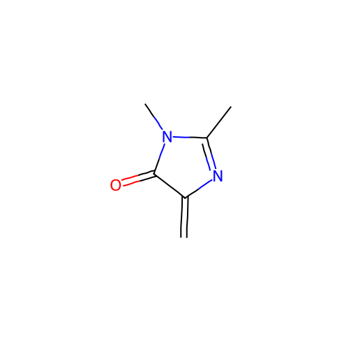 C=C1N=C(C)N(C)C1=O